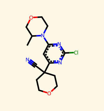 CC1COCCN1c1cc(C2(C#N)CCOCC2)nc(Cl)n1